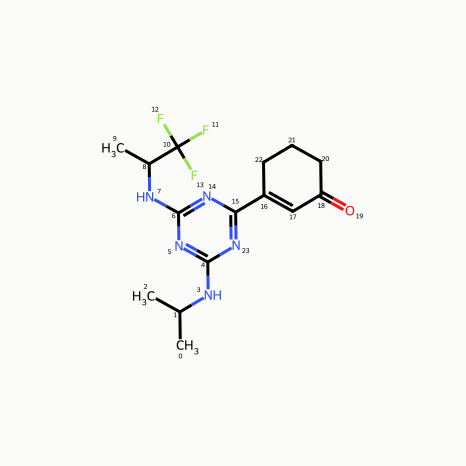 CC(C)Nc1nc(NC(C)C(F)(F)F)nc(C2=CC(=O)CCC2)n1